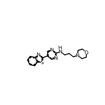 [c]1nc(NCCCN2CCOCC2)ncc1-c1nc2ccccc2s1